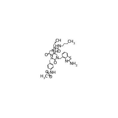 C#CCN(C(=O)NCCCC)N1CC(=O)N2[C@@H](Cc3ccc(NS(C)(=O)=O)cc3)C(=O)N(Cc3cccc4sc(N)nc34)C[C@@H]21